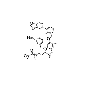 Cc1cc(CN(C)CCCNC(=O)C2CO2)c(OCc2cccc(C#N)c2)cc1OCc1cccc(-c2ccc3c(c2)OCO3)c1C